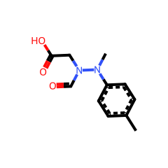 Cc1ccc(N(C)N(C=O)CC(=O)O)cc1